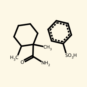 CC1CCCCC1(C)C(N)=O.O=S(=O)(O)c1ccccc1